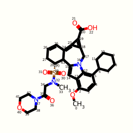 COc1ccc(C2CCCCC2)c2c1cc1n2CC2=C(C(=O)O)C2=C2C=CC[C@@H](S(=O)(=O)N(C)CC(=O)N3CCOCC3)C21